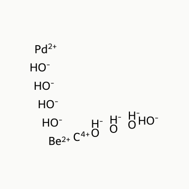 [Be+2].[C+4].[OH-].[OH-].[OH-].[OH-].[OH-].[OH-].[OH-].[OH-].[Pd+2]